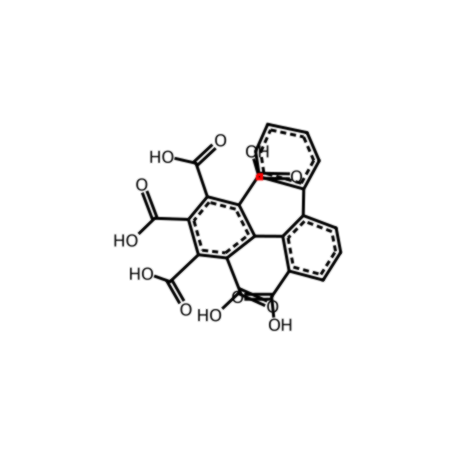 O=C(O)c1cccc(-c2ccccc2)c1-c1c(C(=O)O)c(C(=O)O)c(C(=O)O)c(C(=O)O)c1C(=O)O